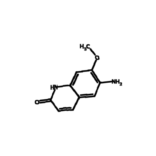 COc1cc2[nH]c(=O)ccc2cc1N